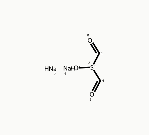 O=C[S+]([O-])C=O.[NaH].[NaH]